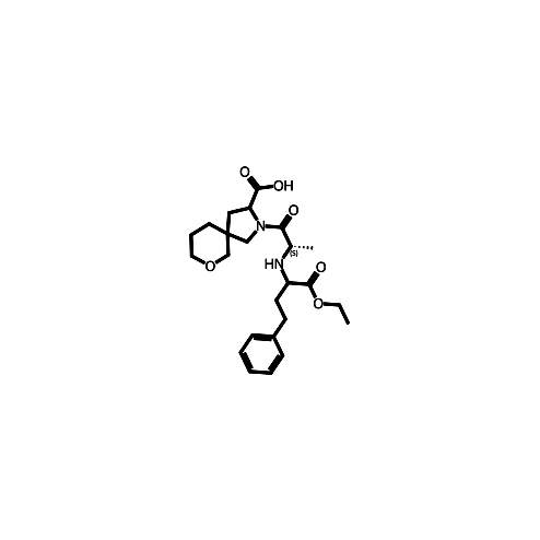 CCOC(=O)C(CCc1ccccc1)N[C@@H](C)C(=O)N1CC2(CCCOC2)CC1C(=O)O